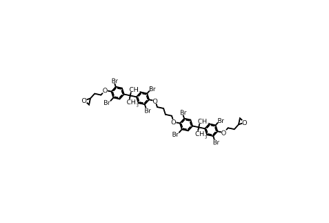 CC(C)(c1cc(Br)c(OCCCCOc2c(Br)cc(C(C)(C)c3cc(Br)c(OCCC4CO4)c(Br)c3)cc2Br)c(Br)c1)c1cc(Br)c(OCCC2CO2)c(Br)c1